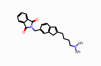 CCCN(CCC)CCCCC1=Cc2ccc(CN3C(=O)c4ccccc4C3=O)cc2C1